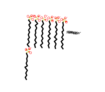 CCCCCCCCCCCCS(=O)(=O)O.CCCCCCCCCCCCS(=O)(=O)[O-].CCCCCCCCCCCCS(=O)(=O)[O-].CCCCCCCCCCCCS(=O)(=O)[O-].CCCCCCCCCCCCS(=O)(=O)[O-].CCCCCCCCCCCCS(=O)(=O)[O-].CCCCCCCCCCCCS(=O)(=O)[O-].[Na+].[Na+].[Na+].[Na+].[Na+].[Na+]